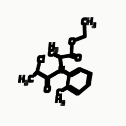 CCOC(=O)C(C)N(C(=O)C(C)Cl)c1ccccc1C